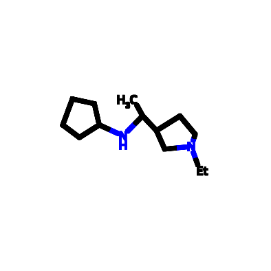 CCN1CCC(C(C)NC2CCCC2)C1